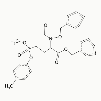 COP(=O)(CCC(C(=O)OCc1ccccc1)N(C=O)OCc1ccccc1)Oc1ccc(C)cc1